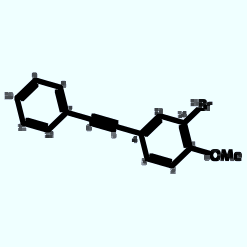 COc1ccc(C#Cc2ccccc2)cc1Br